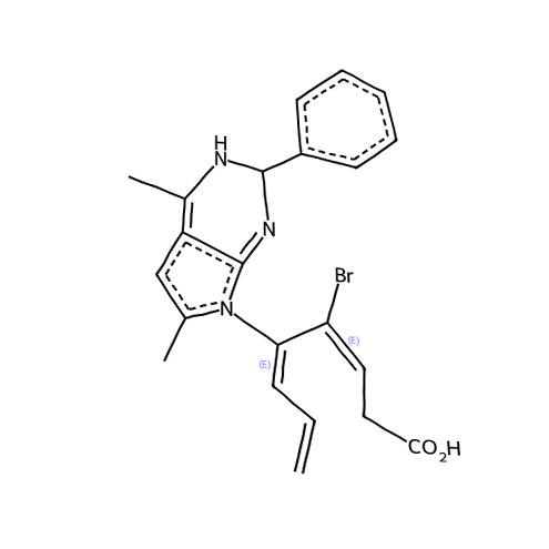 C=C/C=C(\C(Br)=C/CC(=O)O)n1c(C)cc2c1=NC(c1ccccc1)NC=2C